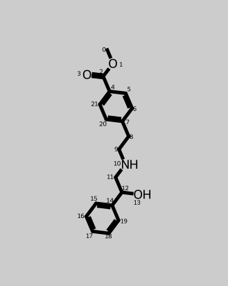 COC(=O)c1ccc(CCNCC(O)c2ccccc2)cc1